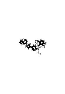 C[C@@H](Oc1cc(-c2cnn(C3CCOC4(CCC4)C3)c2)cnc1N)c1c(Cl)ccc(F)c1Cl